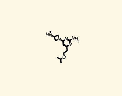 CNC1CN(c2cc(CCOC(C)C)nc(N)n2)C1